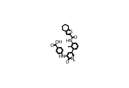 Cc1c(NC(=O)c2cc3c(s2)CCCC3)cccc1-c1cc(Nc2ccc(C(=O)O)cc2)c(=O)n(C)c1